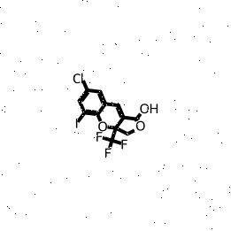 CCC1(C(F)(F)F)Oc2c(I)cc(Cl)cc2C=C1C(=O)O